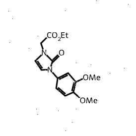 CCOC(=O)Cn1ccn(-c2ccc(OC)c(OC)c2)c1=O